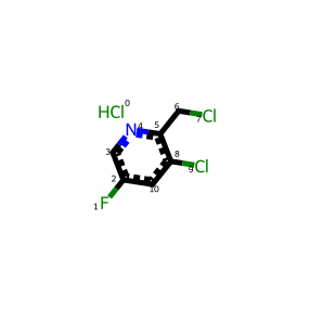 Cl.Fc1cnc(CCl)c(Cl)c1